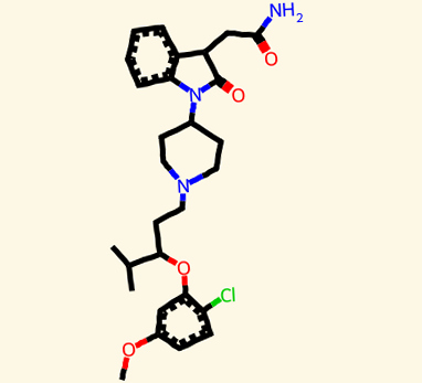 COc1ccc(Cl)c(OC(CCN2CCC(N3C(=O)C(CC(N)=O)c4ccccc43)CC2)C(C)C)c1